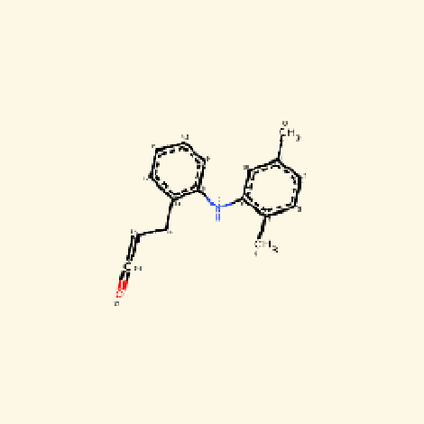 Cc1ccc(C)c(Nc2ccccc2CC=C=O)c1